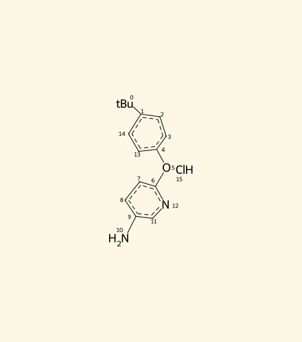 CC(C)(C)c1ccc(Oc2ccc(N)cn2)cc1.Cl